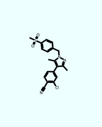 Cc1nn(Cc2ccc(S(C)(=O)=O)cc2)c(C)c1-c1ccc(C#N)c(Cl)c1